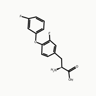 N[C@@H](Cc1ccc(Oc2cccc(F)c2)c(F)c1)C(=O)O